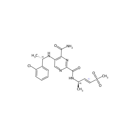 C[C@H](/C=C/S(C)(=O)=O)NC(=O)c1ncc(N[C@@H](C)c2ccccc2Cl)c(C(N)=O)n1